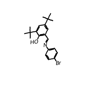 CC(C)(C)c1cc(C=Nc2ccc(Br)cc2)c(O)c(C(C)(C)C)c1